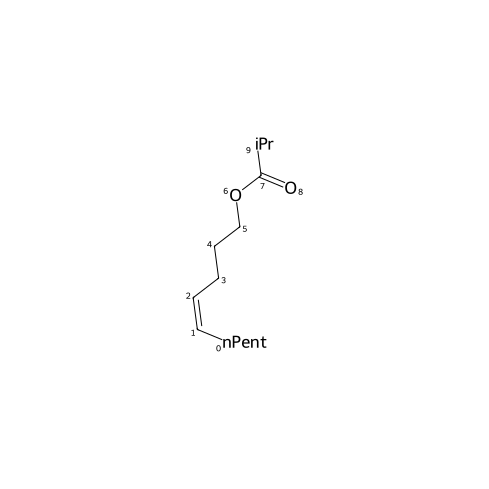 CCCCC/C=C\CCCOC(=O)C(C)C